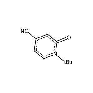 CC(C)(C)n1ccc(C#N)cc1=O